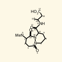 CNC1CCC(=O)N2CCCC(C(=O)NC(I)CC(=O)O)N2C1=O